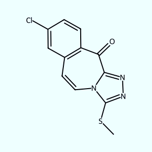 CSc1nnc2c(=O)c3ccc(Cl)cc3ccn12